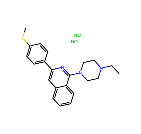 CCN1CCN(c2nc(-c3ccc(SC)cc3)cc3ccccc23)CC1.Cl.Cl